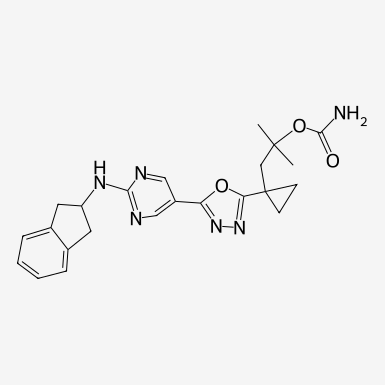 CC(C)(CC1(c2nnc(-c3cnc(NC4Cc5ccccc5C4)nc3)o2)CC1)OC(N)=O